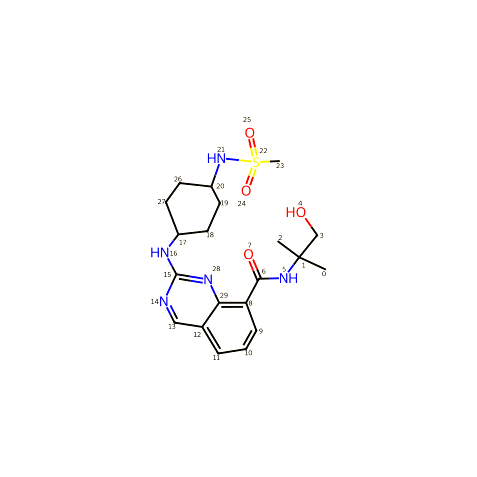 CC(C)(CO)NC(=O)c1cccc2cnc(NC3CCC(NS(C)(=O)=O)CC3)nc12